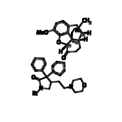 CCN1CC(CCN2CCOCC2)C(c2ccccc2)(c2ccccc2)C1=O.COc1ccc2c3c1O[C@H]1C(=O)CC[C@H]4[C@@H](C2)N(C)CC[C@]314